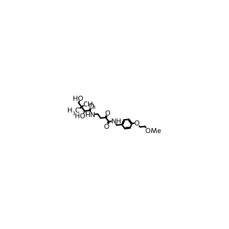 COCCOc1ccc(CNC(=O)C(=O)CCNC(=O)[C@H](O)C(C)(C)CO)cc1